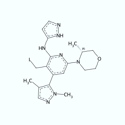 Cc1cnn(C)c1-c1cc(N2CCOC[C@H]2C)nc(Nc2ccn[nH]2)c1CI